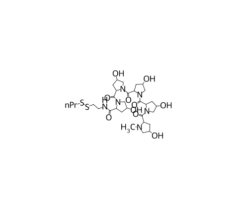 CCCSSCCNC(=O)C1CC(O)CN1C(=O)C1CC(O)CN1C(=O)C1CC(O)CN1C(=O)C1CC(O)CN1C(=O)C1CC(O)CN1C